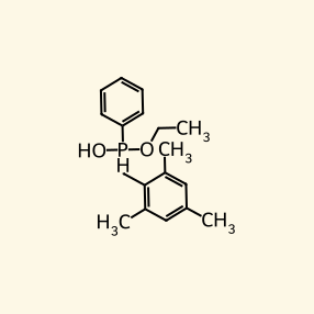 CCO[PH](O)(Cc1c(C)cc(C)cc1C)c1ccccc1